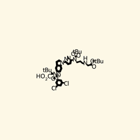 CC(C)(C)OC(=O)CNCCCN(C(=O)OC(C)(C)C)c1ccc(-n2ccc3cc(N(C(C(=O)O)C(C)(C)C)S(=O)(=O)c4cc(Cl)cc(Cl)c4)ccc32)nn1